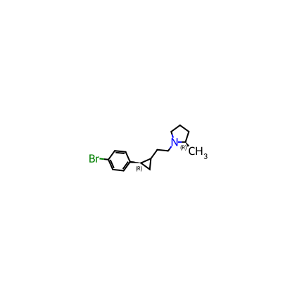 C[C@@H]1CCCN1CCC1C[C@H]1c1ccc(Br)cc1